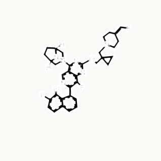 CCc1c(F)ccc2cccc(-c3ncc4c(N5C[C@H]6CC[C@@H](C5)N6)nc(OCC5(CN6CCC(=CF)CC6)CC5)nc4c3F)c12